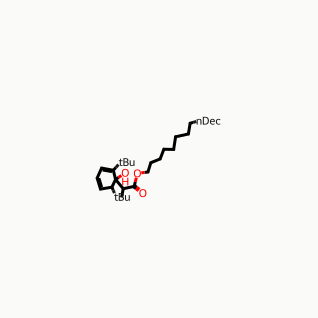 CCCCCCCCCCCCCCCCCCOC(=O)C(C)C1(O)C(C(C)(C)C)=CC=CC1C(C)(C)C